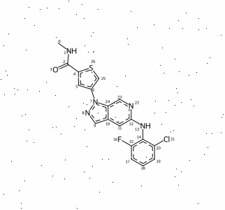 CNC(=O)c1cc(-n2ncc3cc(Nc4c(F)cccc4Cl)ncc32)cs1